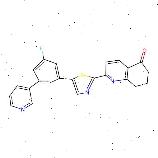 O=C1CCCc2nc(-c3ncc(-c4cc(F)cc(-c5cccnc5)c4)s3)ccc21